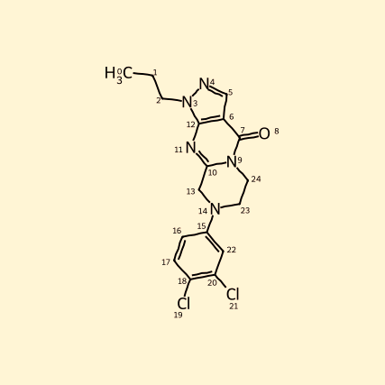 CCCn1ncc2c(=O)n3c(nc21)CN(c1ccc(Cl)c(Cl)c1)CC3